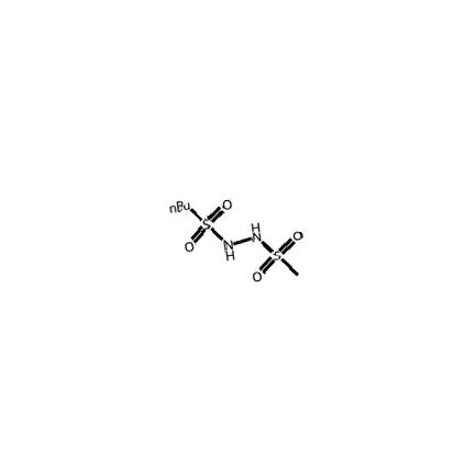 CCCCS(=O)(=O)NNS(C)(=O)=O